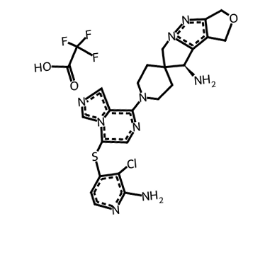 Nc1nccc(Sc2cnc(N3CCC4(CC3)Cn3nc5c(c3[C@H]4N)COC5)c3cncn23)c1Cl.O=C(O)C(F)(F)F